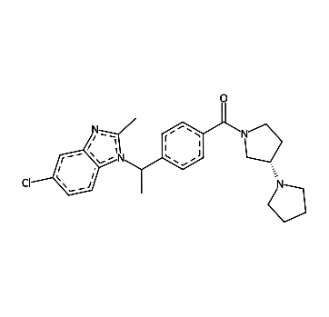 Cc1nc2cc(Cl)ccc2n1C(C)c1ccc(C(=O)N2CC[C@H](N3CCCC3)C2)cc1